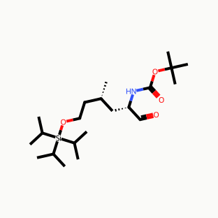 CC(C)[Si](OCC[C@H](C)C[C@@H](C=O)NC(=O)OC(C)(C)C)(C(C)C)C(C)C